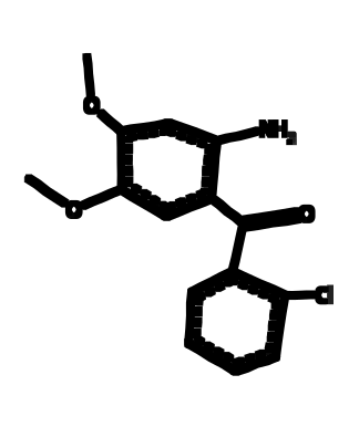 COc1cc(N)c(C(=O)c2ccccc2Cl)cc1OC